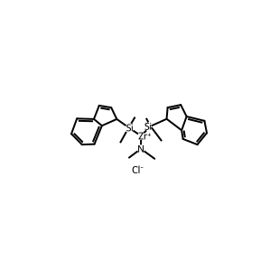 C[N](C)[Zr+]([Si](C)(C)C1C=Cc2ccccc21)[Si](C)(C)C1C=Cc2ccccc21.[Cl-]